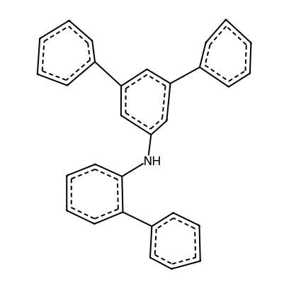 c1ccc(-c2cc(Nc3ccccc3-c3ccccc3)cc(-c3ccccc3)c2)cc1